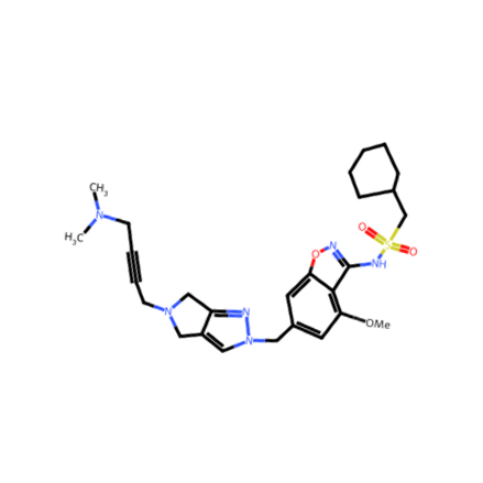 COc1cc(Cn2cc3c(n2)CN(CC#CCN(C)C)C3)cc2onc(NS(=O)(=O)CC3CCCCC3)c12